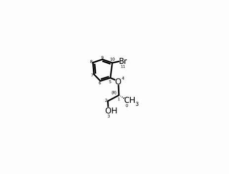 C[C@H](CO)Oc1ccccc1Br